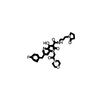 O=C(NCCCN1CCCC1=O)c1c(O)c2ncc(Cc3ccc(F)cc3)cc2n(CC(=O)N2CCOCC2)c1=O